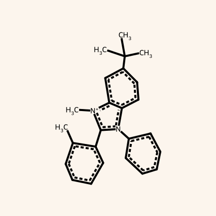 Cc1ccccc1-c1n(-c2ccccc2)c2ccc(C(C)(C)C)cc2[n+]1C